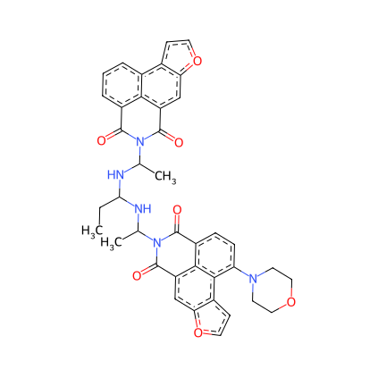 CCC(NC(C)N1C(=O)c2cccc3c2c(cc2occc23)C1=O)NC(C)N1C(=O)c2ccc(N3CCOCC3)c3c2c(cc2occc23)C1=O